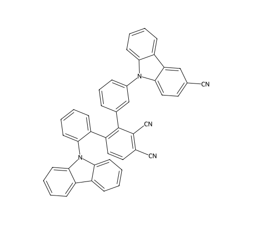 N#Cc1ccc2c(c1)c1ccccc1n2-c1cccc(-c2c(-c3ccccc3-n3c4ccccc4c4ccccc43)ccc(C#N)c2C#N)c1